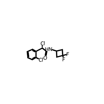 O=C(NC1CC(F)(F)C1)[C@H](Cl)c1ccccc1Cl